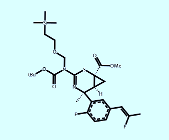 COC(=O)[C@]12C[C@H]1[C@@](C)(c1cc(/C=C(/C)F)ccc1F)N=C(N(COCC[Si](C)(C)C)C(=O)OC(C)(C)C)S2